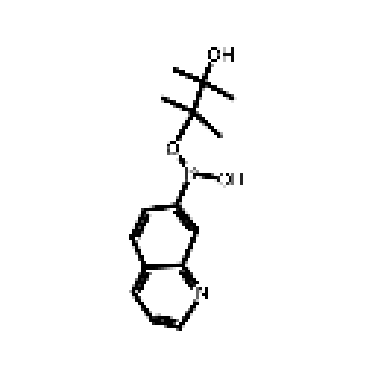 CC(C)(O)C(C)(C)OB(O)c1ccc2cccnc2c1